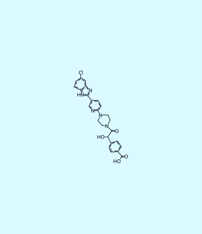 O=C(O)c1ccc(C(O)C(=O)N2CCN(c3ccc(-c4nc5cc(Cl)ccc5[nH]4)cn3)CC2)cc1